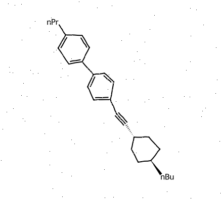 CCCC[C@H]1CC[C@H](C#Cc2ccc(-c3ccc(CCC)cc3)cc2)CC1